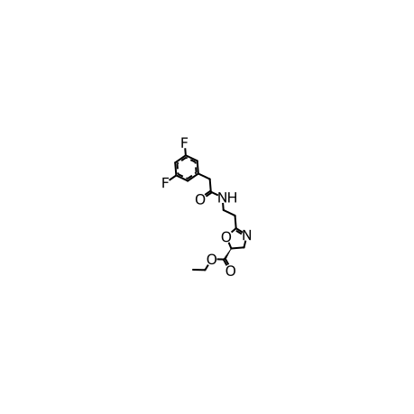 CCOC(=O)[C@@H]1CN=C(CCNC(=O)Cc2cc(F)cc(F)c2)O1